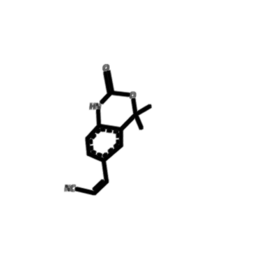 CC1(C)OC(=O)Nc2ccc(/C=C\C#N)cc21